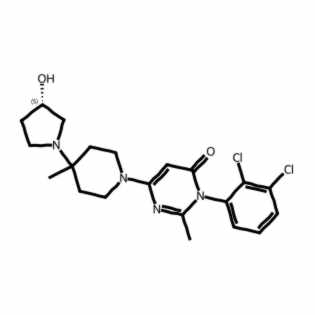 Cc1nc(N2CCC(C)(N3CC[C@H](O)C3)CC2)cc(=O)n1-c1cccc(Cl)c1Cl